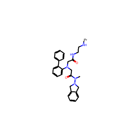 CC(C)NCCNC(=O)CN(CC(=O)N(C)N1Cc2ccccc2C1)c1ccccc1-c1ccccc1